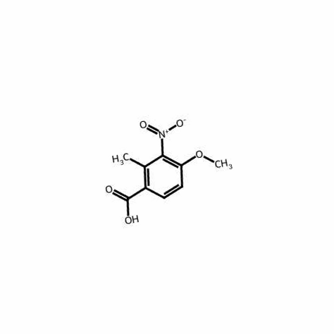 COc1ccc(C(=O)O)c(C)c1[N+](=O)[O-]